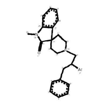 CC(=O)C(Cc1ccccc1)CN1CCC2(CC1)C(=O)N(C)c1ccccc12